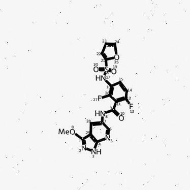 COc1n[nH]c2ncc(NC(=O)c3c(F)ccc(NS(=O)(=O)c4ccco4)c3F)cc12